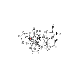 COc1cccc2c1n(Cc1ccccc1C(F)(F)F)c(=O)n2C1C2CC1CN(c1c(C)cccc1F)C2